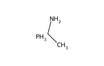 CCN.P